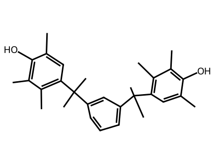 Cc1cc(C(C)(C)c2cccc(C(C)(C)c3cc(C)c(O)c(C)c3C)c2)c(C)c(C)c1O